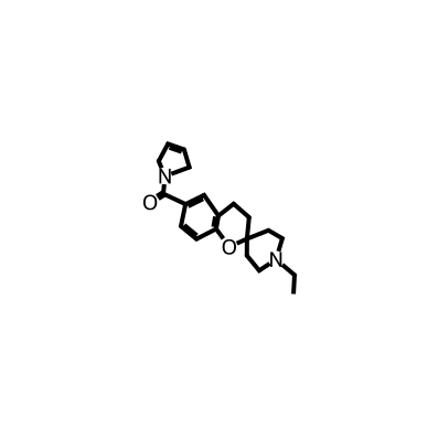 CCN1CCC2(CCc3cc(C(=O)N4CC=CC4)ccc3O2)CC1